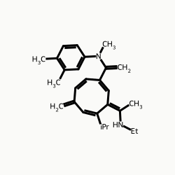 C=C1\C=C/C(C(=C)N(C)c2ccc(C)c(C)c2)=C\C(=C(/C)NCC)C(\C(C)C)=C/1